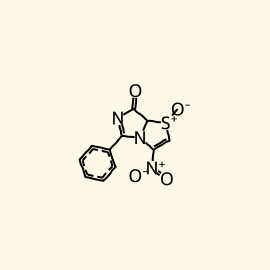 O=C1N=C(c2ccccc2)N2C([N+](=O)[O-])=C[S+]([O-])C12